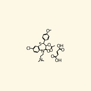 COc1ccc(C2Sc3cc(Cl)ccc3N(CCN(C)C)C(=O)C2OC(C)=O)cc1.O=C(O)C=CC(=O)O